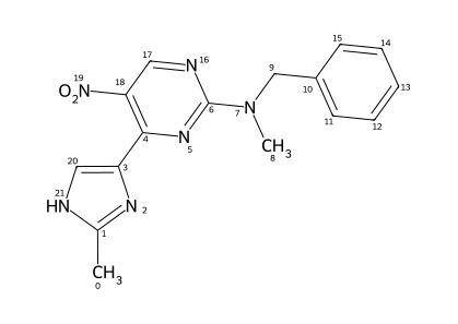 Cc1nc(-c2nc(N(C)Cc3ccccc3)ncc2[N+](=O)[O-])c[nH]1